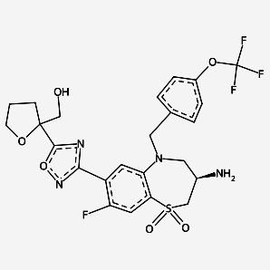 N[C@@H]1CN(Cc2ccc(OC(F)(F)F)cc2)c2cc(-c3noc(C4(CO)CCCO4)n3)c(F)cc2S(=O)(=O)C1